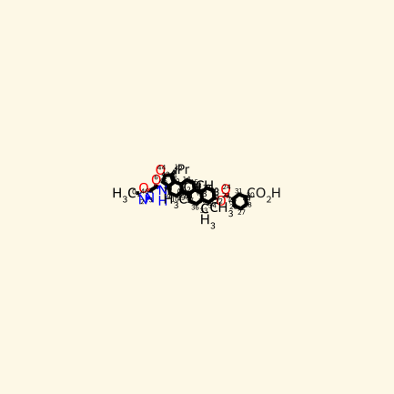 Cc1nnc(C(=O)N[C@@]23CC[C@]4(C)C(CCC5[C@@]6(C)CC[C@H](OC(=O)[C@H]7CCC[C@@H](C(=O)O)C7)C(C)(C)C6CC[C@]54C)C2=C(C(C)C)C(=O)C3)o1